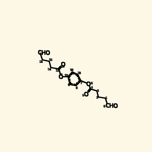 O=CCCCC(=O)Oc1ccc(OC(=O)CCCC=O)cc1